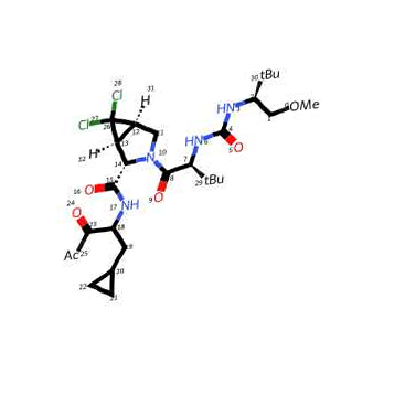 COC[C@@H](NC(=O)N[C@H](C(=O)N1C[C@H]2[C@@H]([C@H]1C(=O)NC(CC1CC1)C(=O)C(C)=O)C2(Cl)Cl)C(C)(C)C)C(C)(C)C